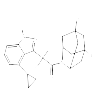 Cn1nc(C(C)(C)C(=O)N2C3CC4(C)CC2CC(O)(C3)C4)c2c(C3CC3)cccc21